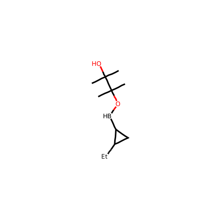 CCC1CC1BOC(C)(C)C(C)(C)O